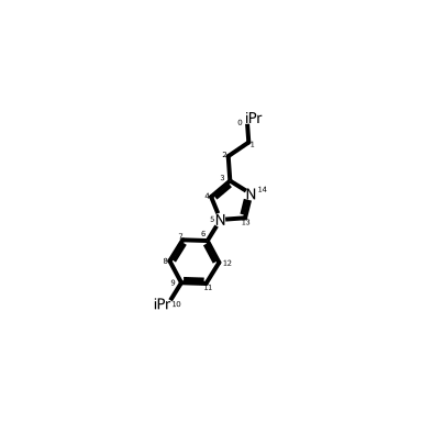 CC(C)CCc1cn(-c2ccc(C(C)C)cc2)cn1